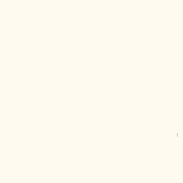 CC(C)(CO)CCCCc1ccc(CCCc2ccc(CCCCC(C)(C)C(=O)O)[s+]2[O-])[s+]1[O-]